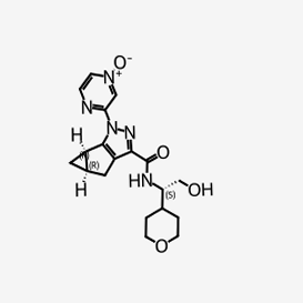 O=C(N[C@H](CO)C1CCOCC1)c1nn(-c2c[n+]([O-])ccn2)c2c1C[C@H]1C[C@@H]21